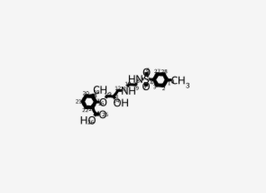 Cc1ccc(S(=O)(=O)NCCNCC(O)COc2c(C)cccc2C(=O)O)cc1